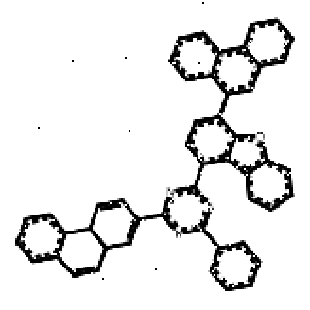 C1=CC2c3ccccc3C=CC2C=C1c1nc(-c2ccccc2)nc(-c2ccc(-c3cc4ccccc4c4ccccc34)c3oc4ccccc4c23)n1